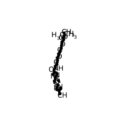 C#Cc1cnc(N2CCN(c3ncc(C(=O)NCCOCCOCCOCCOCCC(=O)OC(C)(C)C)cn3)CC2)nc1